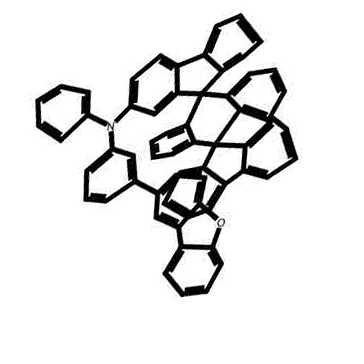 c1ccc(N(c2cccc(-c3ccc4oc5ccccc5c4c3)c2)c2ccc3c(c2)C2(c4ccccc4-3)c3ccccc3C3(c4ccccc4-c4ccccc43)c3ccccc32)cc1